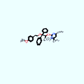 CCCCOc1ccc(CCOC(c2ccccc2)(c2ccccc2)C(Oc2nc(C)cc(OC)n2)C(=O)O)cc1